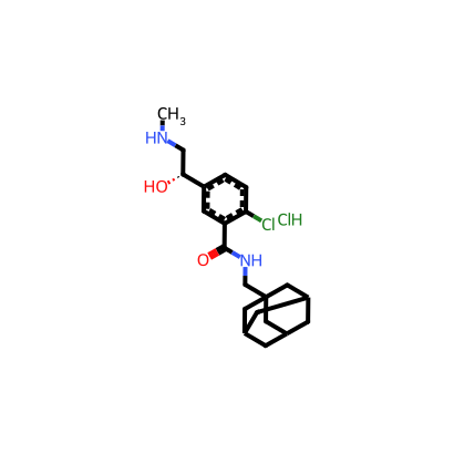 CNC[C@@H](O)c1ccc(Cl)c(C(=O)NCC23CC4CC(CC(C4)C2)C3)c1.Cl